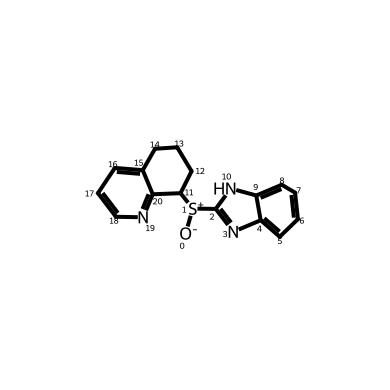 [O-][S+](c1nc2ccccc2[nH]1)C1CCCc2cccnc21